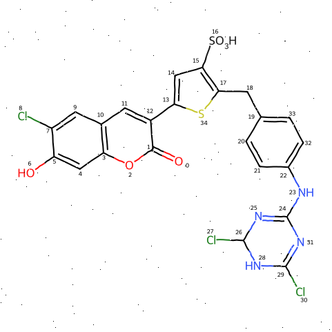 O=c1oc2cc(O)c(Cl)cc2cc1-c1cc(S(=O)(=O)O)c(Cc2ccc(NC3=NC(Cl)NC(Cl)=N3)cc2)s1